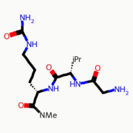 CNC(=O)[C@H](CCCNC(N)=O)NC(=O)[C@@H](NC(=O)CN)C(C)C